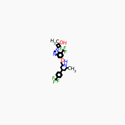 CC1CC(c2ccc(C(F)(F)F)cc2)CC(COc2cc(C(F)(F)F)c3c(c2)ncn3C2CC(C)(O)C2)N1